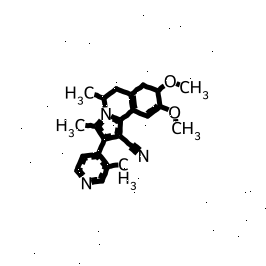 COC1=CC2=C(CC1OC)CC(C)n1c(C)c(-c3ccncc3C)c(C#N)c12